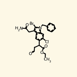 CCOC(=O)C(CC=O)c1cc2c(CC(N)=O)c(Br)n(Cc3ccccc3)c2cc1Cl